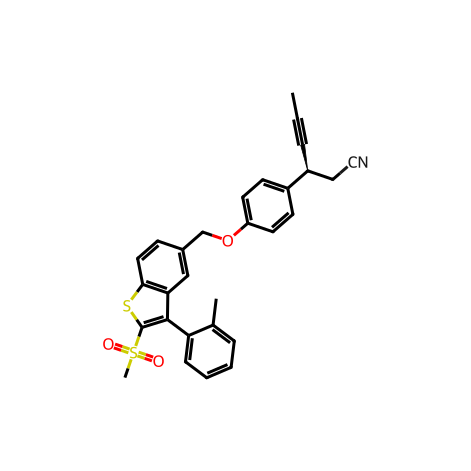 CC#C[C@@H](CC#N)c1ccc(OCc2ccc3sc(S(C)(=O)=O)c(-c4ccccc4C)c3c2)cc1